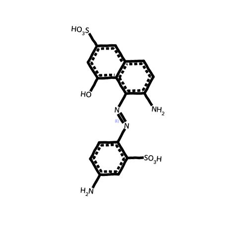 Nc1ccc(/N=N/c2c(N)ccc3cc(S(=O)(=O)O)cc(O)c23)c(S(=O)(=O)O)c1